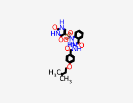 CC(C)CCOc1ccc(C(=O)NNC(=O)c2ccccc2NS(=O)(=O)c2c[nH]c(=O)[nH]c2=O)cc1